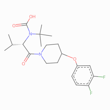 CC(C)[C@@H](C(=O)N1CCC(Oc2ccc(F)c(F)c2)CC1)N(C(=O)O)C(C)(C)C